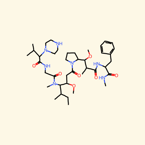 CCC(C)C(C(CC(=O)N1CCCC1C(OC)C(C)C(=O)NC(Cc1ccccc1)C(=O)NC)OC)N(C)C(=O)CNC(=O)C(C(C)C)N1CCNCC1